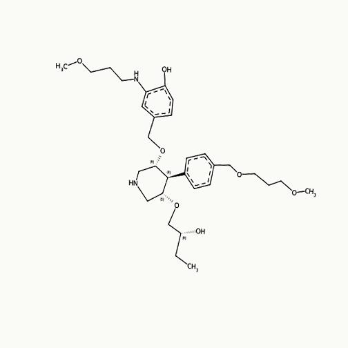 CC[C@@H](O)CO[C@@H]1CNC[C@H](OCc2ccc(O)c(NCCCOC)c2)[C@H]1c1ccc(COCCCOC)cc1